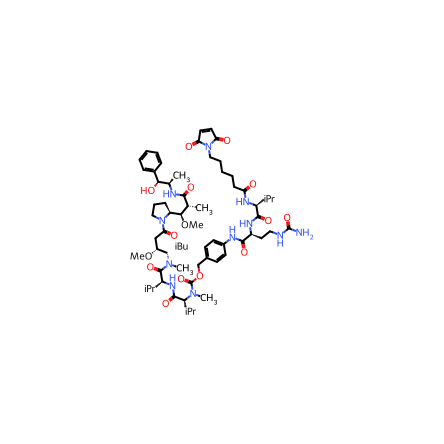 CC[C@H](C)[C@@H]([C@@H](CC(=O)N1CCC[C@H]1[C@H](OC)[C@@H](C)C(=O)N[C@H](C)[C@@H](O)c1ccccc1)OC)N(C)C(=O)[C@@H](NC(=O)[C@H](C(C)C)N(C)C(=O)OCc1ccc(NC(=O)[C@H](CCNC(N)=O)NC(=O)[C@@H](NC(=O)CCCCCN2C(=O)C=CC2=O)C(C)C)cc1)C(C)C